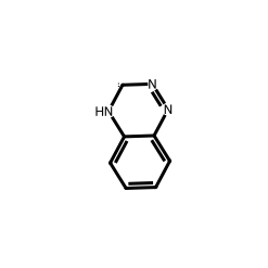 [C]1N=Nc2ccccc2N1